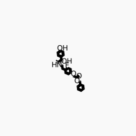 C[C@H](NCCc1ccc(OCC(=O)OCc2ccccc2)cc1F)[C@@H](O)c1ccc(O)cc1